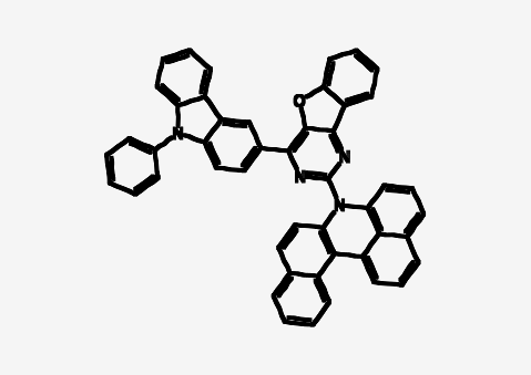 c1ccc(-n2c3ccccc3c3cc(-c4nc(N5c6ccc7ccccc7c6-c6cccc7cccc5c67)nc5c4oc4ccccc45)ccc32)cc1